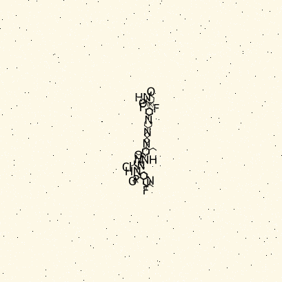 CCc1cc(Nc2ncc(Cl)c(Nc3ccc4nc(C)c(F)cc4c3P(C)(C)=O)n2)c(OC)cc1N1CC2(C1)CN(C1CCN(c3cc(F)c([C@H]4CCC(=O)NC4=O)c(F)c3)CC1)C2